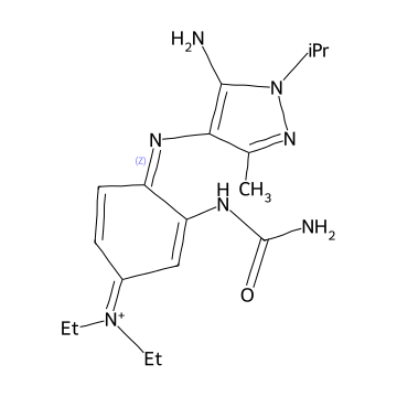 CC[N+](CC)=C1C=C/C(=N/c2c(C)nn(C(C)C)c2N)C(NC(N)=O)=C1